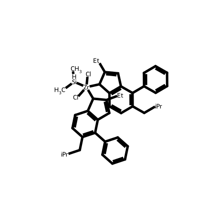 CCC1=Cc2c(ccc(CC(C)C)c2-c2ccccc2)[CH]1[Zr]([Cl])([Cl])([CH]1C(CC)=Cc2c1ccc(CC(C)C)c2-c1ccccc1)[SiH](C)C